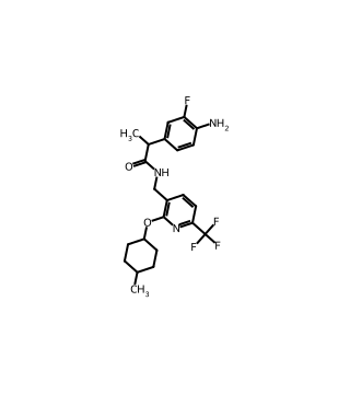 CC1CCC(Oc2nc(C(F)(F)F)ccc2CNC(=O)C(C)c2ccc(N)c(F)c2)CC1